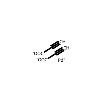 C#CC(=O)[O-].C#CC(=O)[O-].[Pd+2]